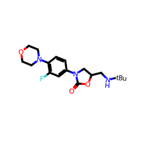 CC(C)(C)NCC1CN(c2ccc(N3CCOCC3)c(F)c2)C(=O)O1